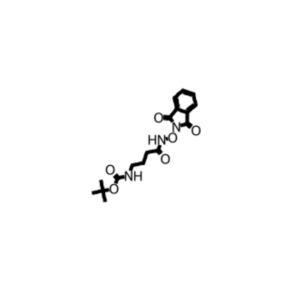 CC(C)(C)OC(=O)NCCCC(=O)NON1C(=O)c2ccccc2C1=O